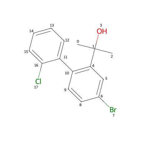 CC(C)(O)c1cc(Br)ccc1-c1ccccc1Cl